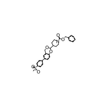 CS(=O)(=O)c1ccc(-c2ccc3c(c2)COC(C2CCN(C(=O)OCc4ccccc4)CC2)O3)cc1